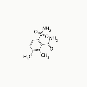 Cc1ccc(S(N)(=O)=O)c(C(N)=O)c1C